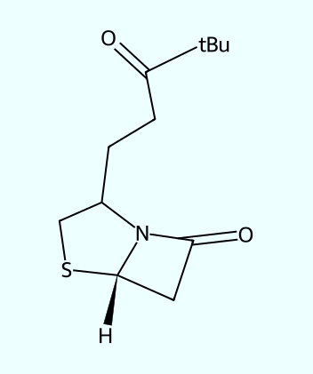 CC(C)(C)C(=O)CCC1CS[C@H]2CC(=O)N12